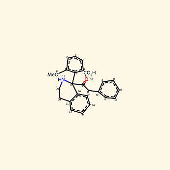 COc1cccc(C(=O)O)c1C1(C(=O)Cc2ccccc2)NCCc2ccccc21